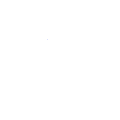 O=C(Nc1cccc2c(OC(=O)c3ccccc3)cccc12)c1ccccc1